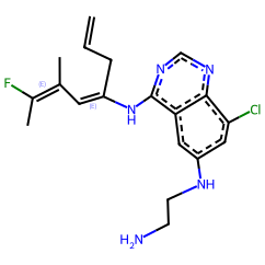 C=CC/C(=C\C(C)=C(/C)F)Nc1ncnc2c(Cl)cc(NCCN)cc12